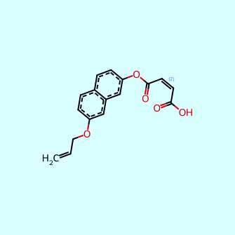 C=CCOc1ccc2ccc(OC(=O)/C=C\C(=O)O)cc2c1